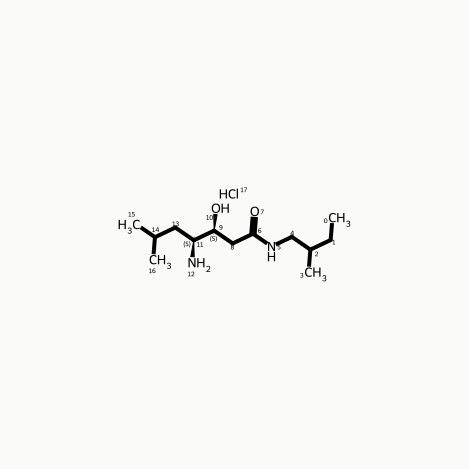 CCC(C)CNC(=O)C[C@H](O)[C@@H](N)CC(C)C.Cl